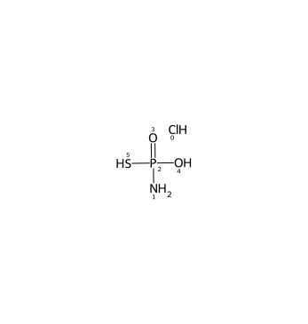 Cl.NP(=O)(O)S